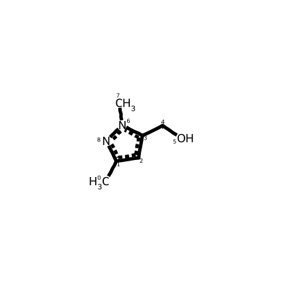 Cc1cc([CH]O)n(C)n1